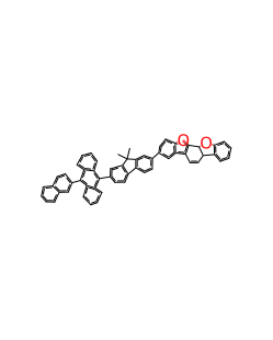 CC1(C)c2cc(-c3ccc4oc5c(c4c3)C=CC3c4ccccc4OC53)ccc2-c2ccc(-c3c4ccccc4c(-c4ccc5ccccc5c4)c4ccccc34)cc21